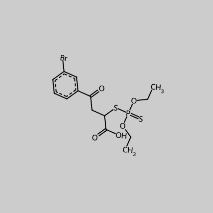 CCOP(=S)(OCC)SC(CC(=O)c1cccc(Br)c1)C(=O)O